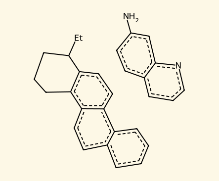 CCC1CCCc2c1ccc1c2ccc2ccccc21.Nc1ccc2cccnc2c1